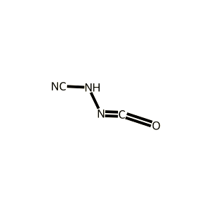 N#CNN=C=O